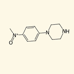 C[N+](=O)c1ccc(N2CCNCC2)cc1